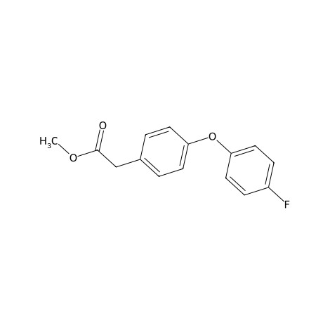 COC(=O)Cc1ccc(Oc2ccc(F)cc2)cc1